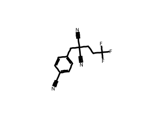 N#Cc1ccc(CC(C#N)(C#N)CCC(F)(F)F)cc1